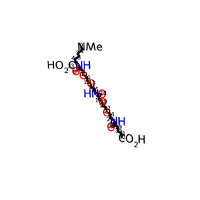 CNCCCCC(NC(=O)COCCOCCNC(=O)COCCOCCNC(=O)CCCC(=O)O)C(=O)O